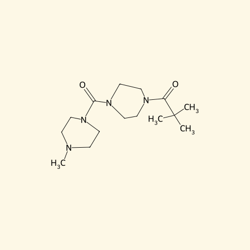 CN1CCN(C(=O)N2CCN(C(=O)C(C)(C)C)CC2)CC1